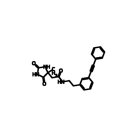 CC1(CC(=O)NCCc2cccc(C#Cc3ccccc3)c2)NC(=O)NC1=O